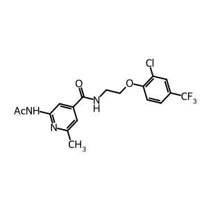 CC(=O)Nc1cc(C(=O)NCCOc2ccc(C(F)(F)F)cc2Cl)cc(C)n1